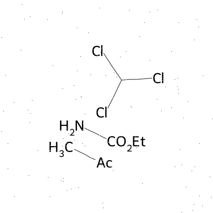 CC(C)=O.CCOC(N)=O.ClC(Cl)Cl